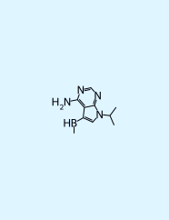 CBc1cn(C(C)C)c2ncnc(N)c12